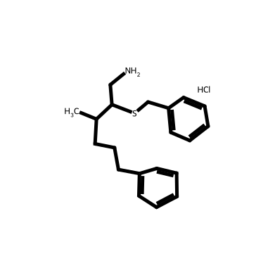 CC(CCCc1ccccc1)C(CN)SCc1ccccc1.Cl